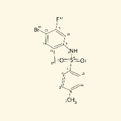 Cc1ccc(S(=O)(=O)Nc2cc(F)c(Br)cc2I)cc1